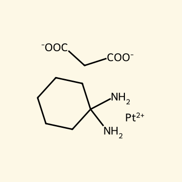 NC1(N)CCCCC1.O=C([O-])CC(=O)[O-].[Pt+2]